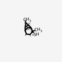 CC1C2C3CCC(C)(S)C(C3)C12